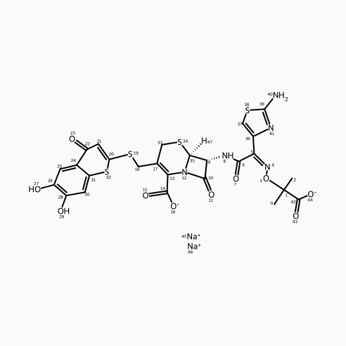 CC(C)(O/N=C(\C(=O)N[C@@H]1C(=O)N2C(C(=O)[O-])=C(CSc3cc(=O)c4cc(O)c(O)cc4s3)CS[C@@H]12)c1csc(N)n1)C(=O)[O-].[Na+].[Na+]